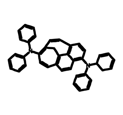 C1=CCC(N(c2ccccc2)c2ccc3c4c5c(ccc24)C=CC(N(c2ccccc2)c2ccccc2)=C(C=C3)C5)C=C1